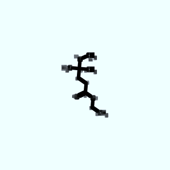 CCOC(=O)CCC(C)(C)OC